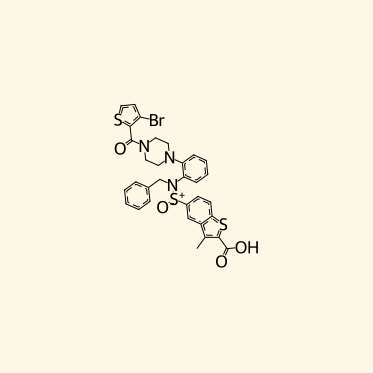 Cc1c(C(=O)O)sc2ccc([S+]([O-])N(Cc3ccccc3)c3ccccc3N3CCN(C(=O)c4sccc4Br)CC3)cc12